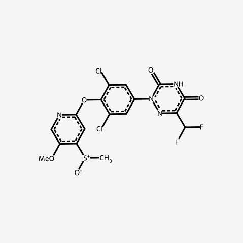 COc1cnc(Oc2c(Cl)cc(-n3nc(C(F)F)c(=O)[nH]c3=O)cc2Cl)cc1[S+](C)[O-]